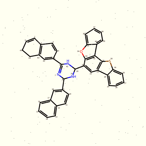 C1=Cc2ccc(C3=NC(c4ccc5ccccc5c4)NC(c4cc5c6ccccc6sc5c5c4oc4ccccc45)N3)cc2CC1